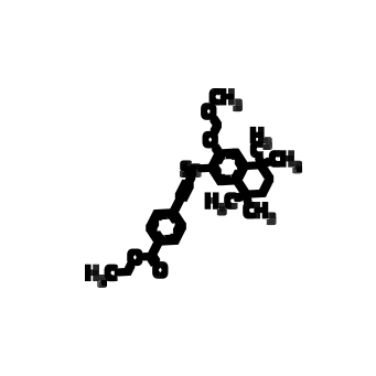 CCOC(=O)c1ccc(C#C[Se]c2cc3c(cc2OCOC)C(C)(C)CCC3(C)C)cc1